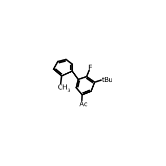 CC(=O)c1cc(-c2ccccc2C)c(F)c(C(C)(C)C)c1